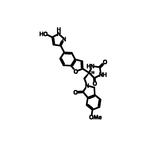 COc1ccc2c(c1)C(=O)N(C[C@@]1(c3cc4cc(-c5cc(O)[nH]n5)ccc4o3)NC(=O)NC1=O)C2